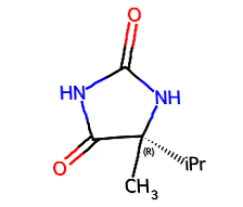 CC(C)[C@@]1(C)NC(=O)NC1=O